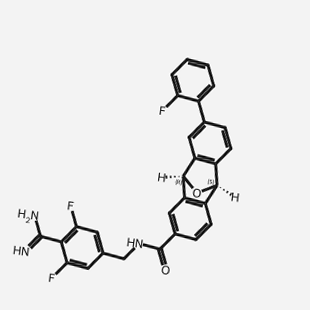 N=C(N)c1c(F)cc(CNC(=O)c2ccc3c(c2)[C@@H]2O[C@H]3c3ccc(-c4ccccc4F)cc32)cc1F